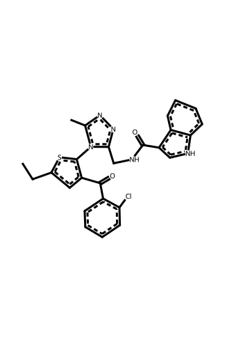 CCc1cc(C(=O)c2ccccc2Cl)c(-n2c(C)nnc2CNC(=O)c2c[nH]c3ccccc23)s1